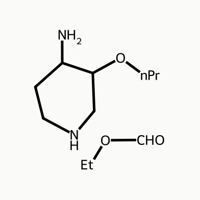 CCCOC1CNCCC1N.CCOC=O